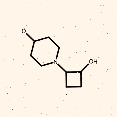 [O]C1CCN(C2CCC2O)CC1